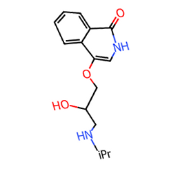 CC(C)NCC(O)COc1c[nH]c(=O)c2ccccc12